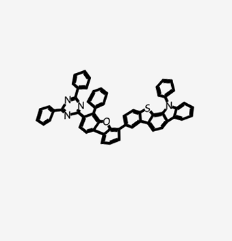 c1ccc(-c2nc(-c3ccccc3)nc(-c3ccc4c(oc5c(-c6ccc7sc8c(ccc9c%10ccccc%10n(-c%10ccccc%10)c98)c7c6)cccc54)c3-c3ccccc3)n2)cc1